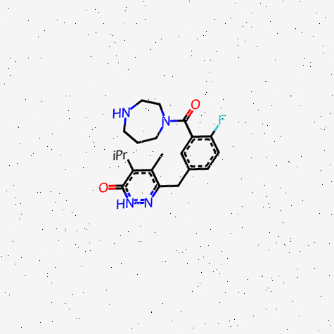 Cc1c(Cc2ccc(F)c(C(=O)N3CCCNCC3)c2)n[nH]c(=O)c1C(C)C